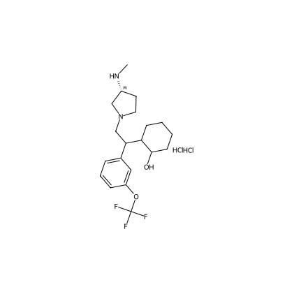 CN[C@@H]1CCN(CC(c2cccc(OC(F)(F)F)c2)C2CCCCC2O)C1.Cl.Cl